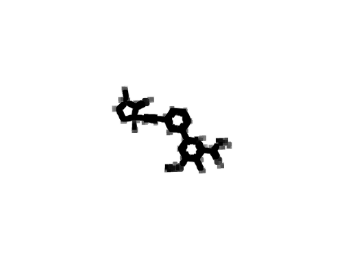 COc1cc(-c2cccc(C#C[C@]3(C)CCN(C)C3=O)c2)nc(C(N)=O)c1C